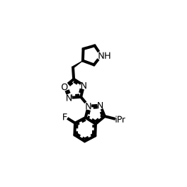 CC(C)c1nn(-c2noc(C[C@H]3CCNC3)n2)c2c(F)cccc12